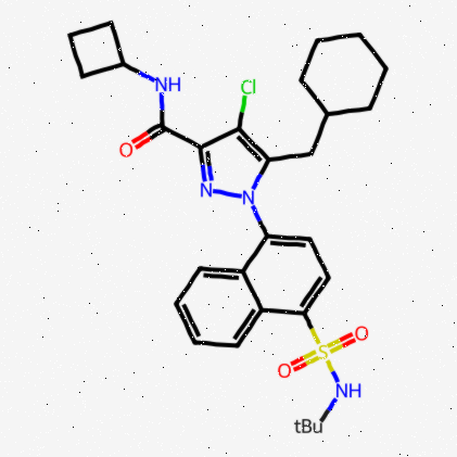 CC(C)(C)NS(=O)(=O)c1ccc(-n2nc(C(=O)NC3CCC3)c(Cl)c2CC2CCCCC2)c2ccccc12